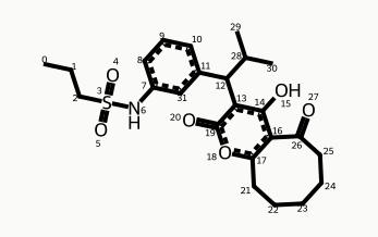 CCCS(=O)(=O)Nc1cccc(C(c2c(O)c3c(oc2=O)CCCCCC3=O)C(C)C)c1